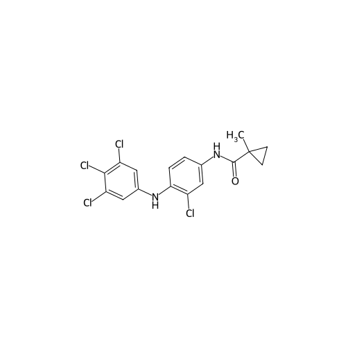 CC1(C(=O)Nc2ccc(Nc3cc(Cl)c(Cl)c(Cl)c3)c(Cl)c2)CC1